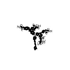 [C-]#[N+]/C(=C\c1ccc(C(=Cc2ccc(N(c3ccc(C=C(c4ccc(/C=C(\[N+]#[C-])C(=O)O)cc4)c4ccc(/C=C(\[N+]#[C-])C(=O)O)cc4)cc3)c3ccc(/C=C/C=C/c4ccc(C)cc4)cc3)cc2)c2ccc(/C=C(\[N+]#[C-])C(=O)O)cc2)cc1)C(=O)O